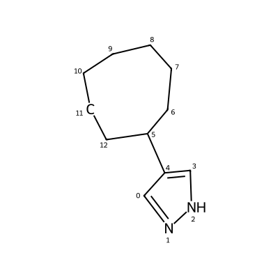 c1n[nH]cc1C1CCCCCCC1